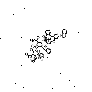 CN(CC1=C(C(=O)O)N2C(=O)[C@@H](NC(=O)[C@@H]3N4C(=O)C[C@H]4S(=O)(=O)[C@]3(C)Cn3ccnn3)C2SC1)S(=O)(=O)c1ccccc1-c1c2ccc(N3CCc4ccccc43)cc2[o+]c2cc(N3CCc4ccccc43)ccc12